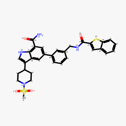 CCS(=O)(=O)N1CCC(c2c[nH]c3c(C(N)=O)cc(-c4cccc(CNC(=O)c5cc6ccccc6s5)c4)cc23)CC1